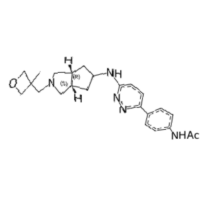 CC(=O)Nc1ccc(-c2ccc(NC3C[C@@H]4CN(CC5(C)COC5)C[C@@H]4C3)nn2)cc1